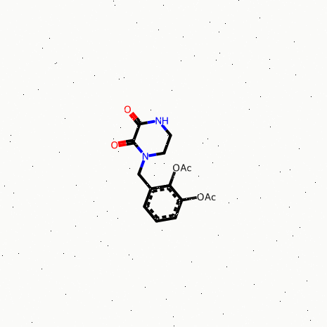 CC(=O)Oc1cccc(CN2CCNC(=O)C2=O)c1OC(C)=O